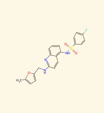 Cc1ccc(CNc2ccc3c(NS(=O)(=O)c4ccc(F)cc4)cccc3n2)o1